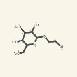 BCCOC1OC(COC(C)=O)C(OC(C)=O)C(OC(C)=O)C1O